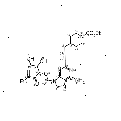 CCNC(=O)[C@@H](OC(C)n1cnc2c(N)nc(C#CCC3CCN(C(=O)OCC)CC3)nc21)C(O)CO